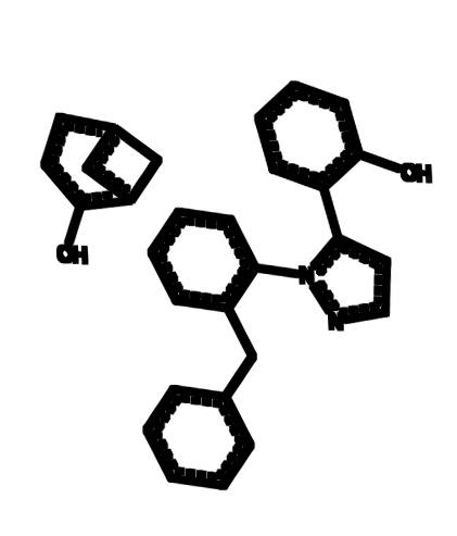 Oc1ccc2cc1C2.Oc1ccccc1-c1ccnn1-c1ccccc1Cc1ccccc1